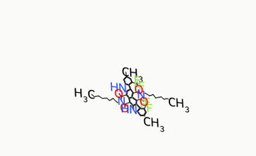 CCCCCCCCN1C(=O)c2c3[nH]c4cc(C)cc(C(F)(F)F)c4c3c3c4c(c5c([nH]c6cc(C)cc(C(F)(F)F)c65)c(c24)C1=O)C(=O)N(CCCCCCCC)C3=O